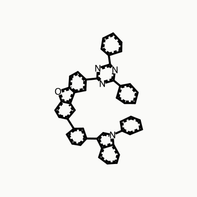 c1ccc(-c2nc(-c3ccccc3)nc(-c3ccc4oc5ccc(-c6cccc(-c7cn(-c8ccccc8)c8ccccc78)c6)cc5c4c3)n2)cc1